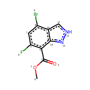 COC(=O)c1c(F)cc(Br)c2c[nH]nc12